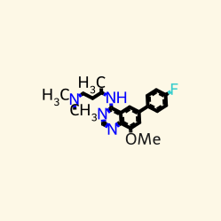 COc1cc(-c2ccc(F)cc2)cc2c(NC(C)CCN(C)C)ncnc12